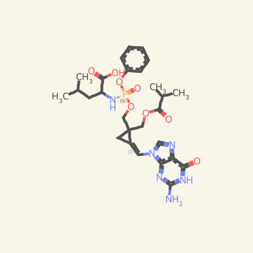 CC(C)CC(N[P@](=O)(OCC1(COC(=O)C(C)C)C/C1=C/n1cnc2c(=O)[nH]c(N)nc21)Oc1ccccc1)C(=O)O